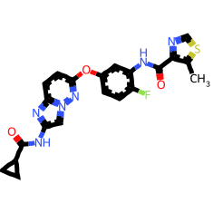 Cc1scnc1C(=O)Nc1cc(Oc2ccc3nc(NC(=O)C4CC4)cn3n2)ccc1F